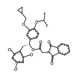 O=C(CN1C(=O)c2ccccc2C1=O)O[C@H](Cc1c(Cl)c[n+]([O-])cc1Cl)c1ccc(OC(F)F)c(OCC2CC2)c1